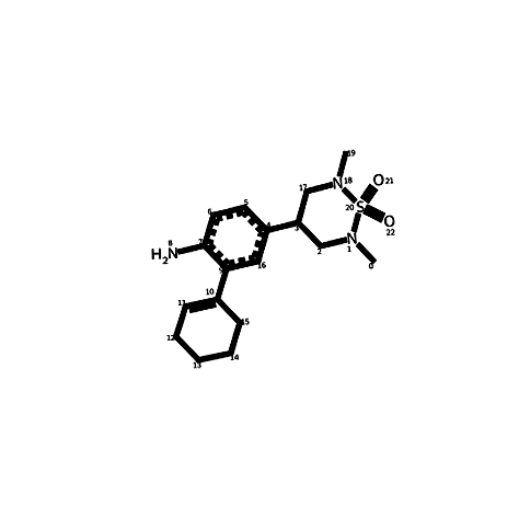 CN1CC(c2ccc(N)c(C3=CCCCC3)c2)CN(C)S1(=O)=O